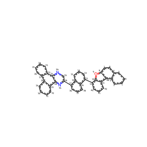 c1ccc2c(c1)ccc1oc3c(-c4cccc5c(-c6cnc7c8ccccc8c8ccccc8c7n6)cccc45)cccc3c12